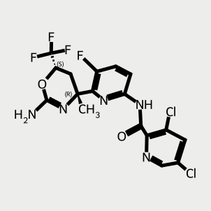 C[C@]1(c2nc(NC(=O)c3ncc(Cl)cc3Cl)ccc2F)C[C@@H](C(F)(F)F)OC(N)=N1